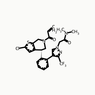 C=CC(=O)N1Cc2sc(Cl)cc2[C@@H](c2ccccc2-c2cn(CC(=O)N(C)C)nc2C(F)(F)F)C1